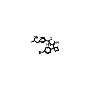 CC(O)Cn1cc(C(=O)NC(=N)C2(c3ccc(Br)cc3)CCC2)cn1